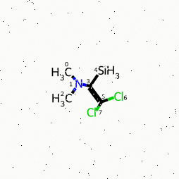 CN(C)C([SiH3])=C(Cl)Cl